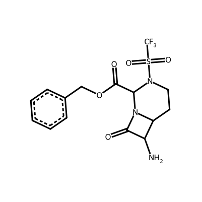 NC1C(=O)N2C1CCN(S(=O)(=O)C(F)(F)F)C2C(=O)OCc1ccccc1